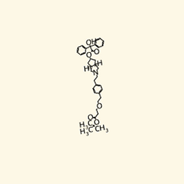 CC(C)(C)OC(=O)CCOCCc1ccc(CCN2C[C@H]3CC(OC(=O)C(O)(c4ccccc4)c4ccccc4)C[C@H]3C2)cc1